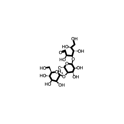 C[C@@H]1O[C@@H](O[C@@H]([C@@H](O)[C@H](O)CO)[C@@H](O)C=O)[C@H](O)[C@H](O)[C@H]1O[C@@H]1O[C@H](CO)[C@@H](O)[C@H](O)[C@@H]1O